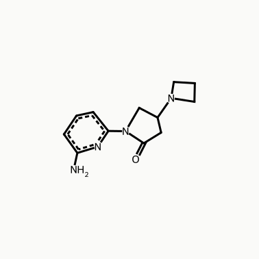 Nc1cccc(N2CC(N3CCC3)CC2=O)n1